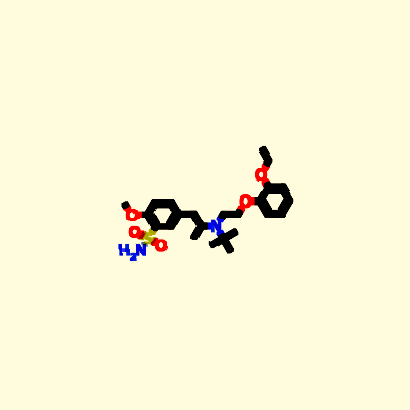 CCOc1ccccc1OCCN(C(C)Cc1ccc(OC)c(S(N)(=O)=O)c1)C(C)(C)C